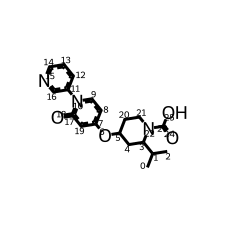 CC(C)C1CC(Oc2ccn(-c3cccnc3)c(=O)c2)CCN1C(=O)O